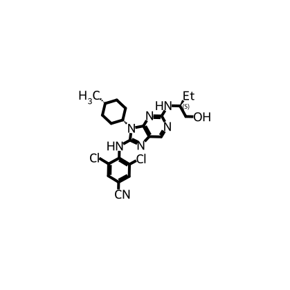 CC[C@@H](CO)Nc1ncc2nc(Nc3c(Cl)cc(C#N)cc3Cl)n([C@H]3CC[C@@H](C)CC3)c2n1